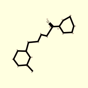 CC1CCCC(CCCCC(=O)C2CCCCC2)C1